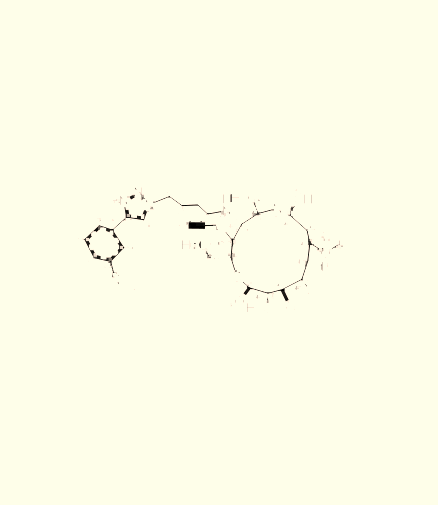 B[C@@H]1[C@@H](C)C(=O)[C@@H](C)C(=O)O[C@H](CC)[C@@](C)(OC#C)[C@H](NCCCCn2cc(-c3cccc(N)c3)nn2)[C@@H](C)N[C@@H](C)C[C@@]1(C)OC